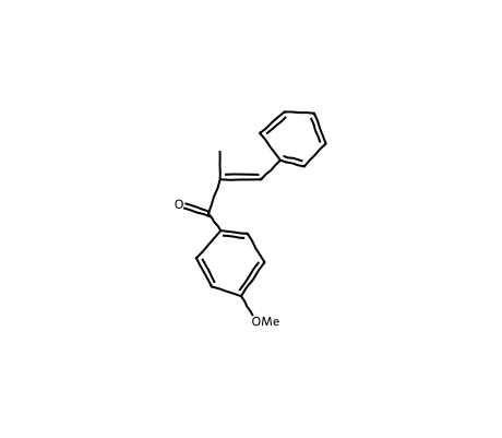 COc1ccc(C(=O)C(C)=Cc2ccccc2)cc1